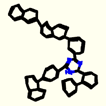 c1ccc(-c2ccccc2C2N=C(c3cccc(-c4ccc5cc(-c6ccc7ccccc7c6)ccc5c4)c3)N=C(c3ccc(-c4cccc5ccccc45)cc3)N2)cc1